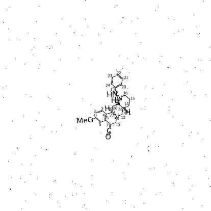 COc1ccc2c(c1)C(=C=O)CN1C[C@H]3CCCN(Nc4ccccc4)[C@H]3C[C@@H]21